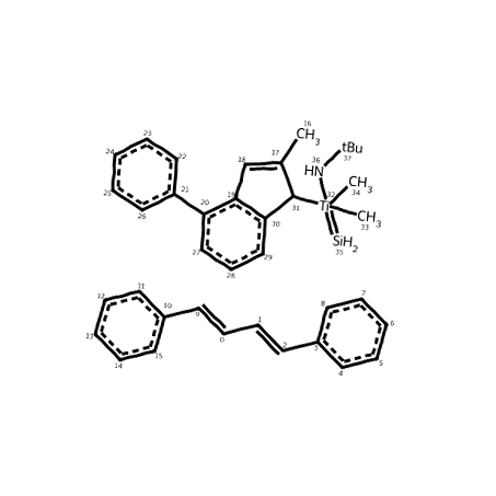 C(C=Cc1ccccc1)=Cc1ccccc1.CC1=Cc2c(-c3ccccc3)cccc2[CH]1[Ti]([CH3])([CH3])(=[SiH2])[NH]C(C)(C)C